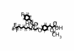 CCOC(Cc1ccc(OCCN(CCCCCCC(F)(F)F)C(=O)NCc2ccc(F)cc2)cc1)C(=O)O